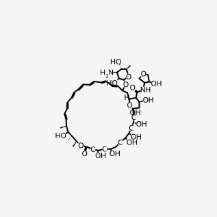 C[C@@H]1OC(=O)CC(O)CC(O)CCC(O)C(O)C[C@H](O)CC2(O)C[C@H](O)C(C(=O)NC3COCC3O)[C@H](CC(O[C@@H]3O[C@H](C)[C@@H](O)[C@H](N)[C@@H]3O)/C=C/C=C/C=C/C=C/C=C/C=C/C=C/[C@H](C)C(O)[C@H]1C)O2